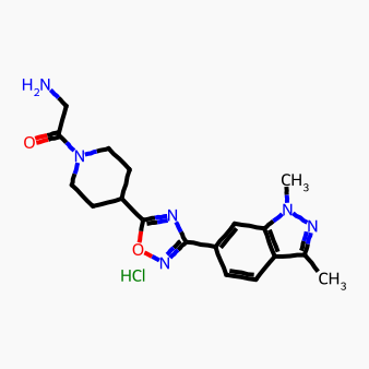 Cc1nn(C)c2cc(-c3noc(C4CCN(C(=O)CN)CC4)n3)ccc12.Cl